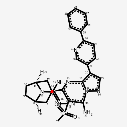 CS(=O)(=O)c1c([C@H]2C[C@H]3CC[C@@H](C2)N3/C(N)=N/C#N)nc2c(-c3ccc(-c4ccccc4)nc3)cnn2c1N